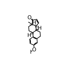 C[C@]12CC[C@@H]3c4ccc(OI)cc4CC[C@H]3[C@@H]1C=CC2=O